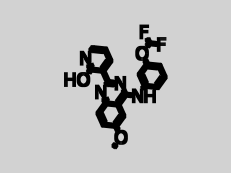 COc1ccc2nc(-c3cccnc3O)nc(Nc3cccc(OC(F)F)c3)c2c1